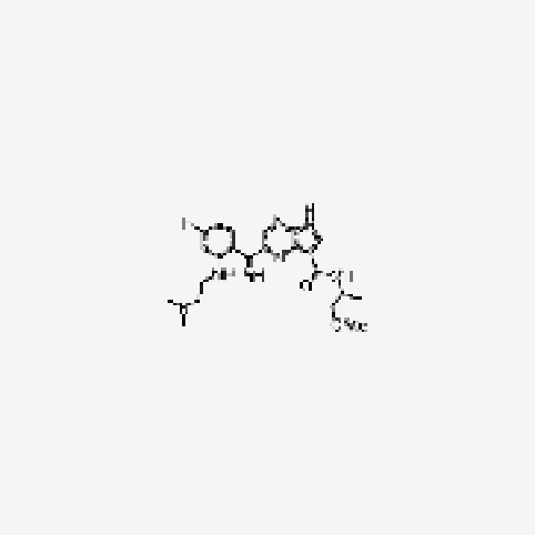 COCC(C)NC(=O)c1c[nH]c2ncc(C(=N)c3ccc(F)cc3NCCN(C)C)nc12